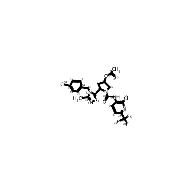 CC(=O)OC1CC(c2nnc(C)n2Cc2ccc(Cl)cc2)N(C(=O)Nc2ccc(C(F)(F)F)nc2Cl)C1